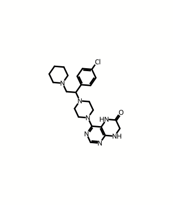 O=C1CNc2ncnc(N3CCN(C(CN4CCCCC4)c4ccc(Cl)cc4)CC3)c2N1